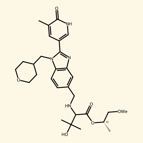 COC[C@H](C)OC(=O)C(NCc1ccc2c(c1)nc(-c1c[nH]c(=O)c(C)c1)n2CC1CCOCC1)C(C)(C)O